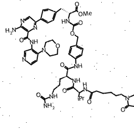 COC(=O)[C@@H](Cc1ccc(-c2cnc(N)c(C(=O)Nc3cnccc3N3CCOCC3)n2)cc1)NC(=O)OCc1ccc(NC(=O)[C@H](CCCNC(N)=O)NC(=O)C(NC(=O)CCCCCN2C(=O)C=CC2=O)C(C)C)cc1